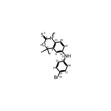 CN1C(=S)OC(C)(C)c2cc(Nc3ccc(Br)cc3)ccc21